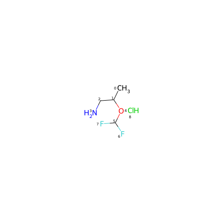 CC(CN)OC(F)F.Cl